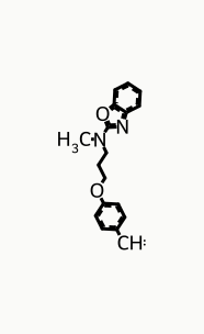 [CH]c1ccc(OCCCN(C)c2nc3ccccc3o2)cc1